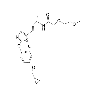 COCCOCC(=O)N[C@@H](C)/C=C/c1cnc(Oc2ccc(OCC3CC3)cc2Cl)s1